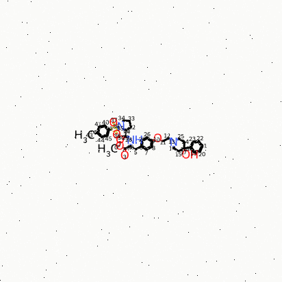 COC(=O)[C@H](Cc1ccc(OCCN2CCC(O)(c3ccccc3)CC2)cc1)NC(=O)[C@@H]1CCCN1S(=O)(=O)c1ccc(C)cc1